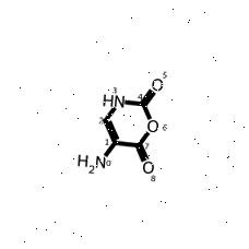 Nc1c[nH]c(=O)oc1=O